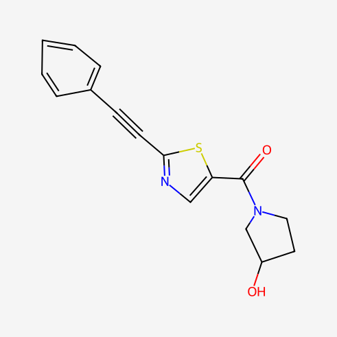 O=C(c1cnc(C#Cc2ccccc2)s1)N1CCC(O)C1